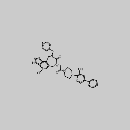 O=C(C[C@@H]1Cc2cc(Cl)c3[nH]ncc3c2CN(Cc2ccncc2)C1=O)N1CCC(c2ncc(-c3ccccc3)cc2O)CC1